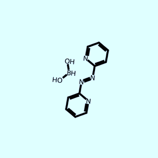 OBO.c1ccc(N=Nc2ccccn2)nc1